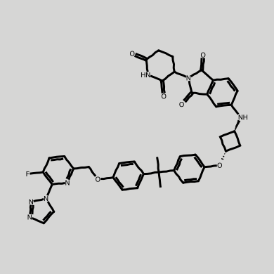 CC(C)(c1ccc(OCc2ccc(F)c(-n3ccnn3)n2)cc1)c1ccc(O[C@H]2C[C@H](Nc3ccc4c(c3)C(=O)N(C3CCC(=O)NC3=O)C4=O)C2)cc1